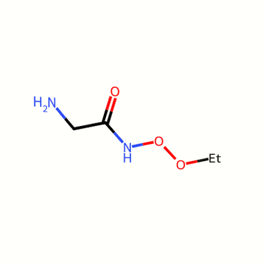 CCOONC(=O)CN